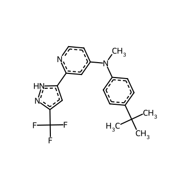 CN(c1ccc(C(C)(C)C)cc1)c1ccnc(-c2cc(C(F)(F)F)n[nH]2)c1